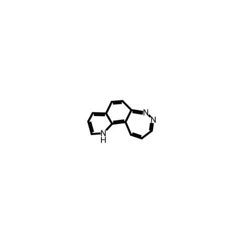 C1=CNc2c3c(ccc2=C1)=NN=CC=C3